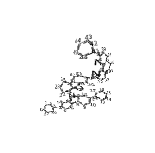 c1ccc(-c2ccc3c4ccc(-c5ccccc5)cc4n(-c4cccc5c4oc4cc(-c6ccc7ccc8ccc(-c9ccccc9)nc8c7n6)ccc45)c3c2)cc1